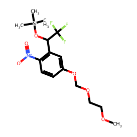 COCCOCOc1ccc([N+](=O)[O-])c(C(O[Si](C)(C)C)C(F)(F)F)c1